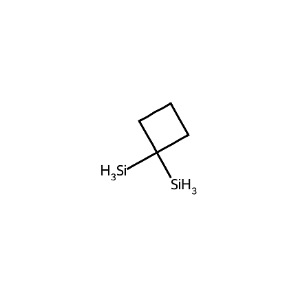 [SiH3]C1([SiH3])CCC1